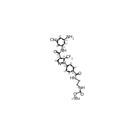 CC(C)(C)OC(=O)NCCNC(=O)c1ccc(-n2ncc(C(=O)Nc3cc(N)cc(Cl)c3)c2C(F)(F)F)cc1